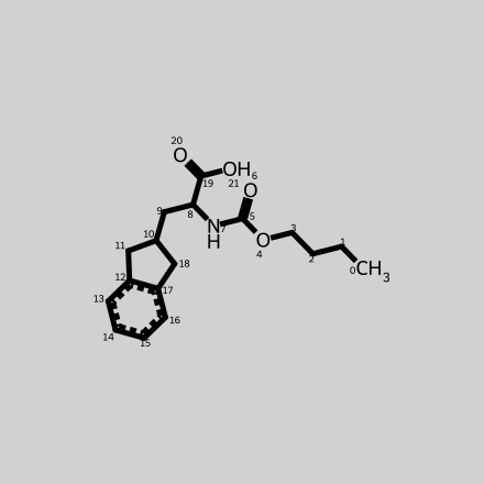 CCCCOC(=O)NC(CC1Cc2ccccc2C1)C(=O)O